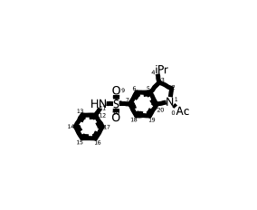 CC(=O)N1CC(C(C)C)c2cc(S(=O)(=O)Nc3ccccc3)ccc21